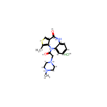 Cc1scc2c1N(C(=O)CN1CCN(C)CC1)c1ccccc1NC2=O.Cl